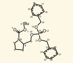 CC(C)(C)OC(=O)N1CCCC1COP(=O)(OCc1ccccc1)OCc1ccccc1